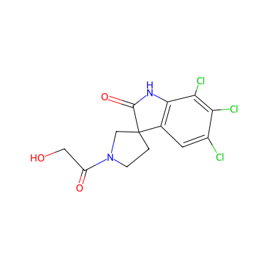 O=C(CO)N1CCC2(C1)C(=O)Nc1c2cc(Cl)c(Cl)c1Cl